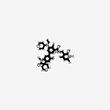 CCN(c1cc(-c2cc3c(cc2F)C2(CCOCC2)C(=O)N3C)cc(C(=O)NCc2c(C)cc(C)[nH]c2=O)c1C)C1CCOCC1